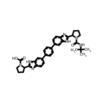 CC(C)(C)NC(=O)N1CCCC1c1nc2ccc(-c3ccc(-c4ccc5nc(C6CCCN6C(=O)O)[nH]c5c4)cc3)cc2[nH]1